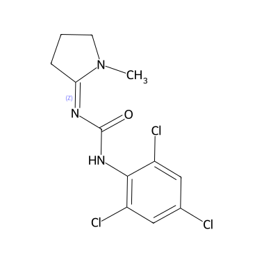 CN1CCC/C1=N/C(=O)Nc1c(Cl)cc(Cl)cc1Cl